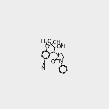 CC1(C)Oc2ccc(C#N)cc2[C@H](N2CCN(c3ccccc3)C2=O)[C@H]1O